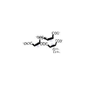 O=C([O-])/C=C\C(=O)[O-].O=C([O-])/C=C\C(=O)[O-].O=C([O-])/C=C\C(=O)[O-].[Cr+3].[Cr+3]